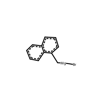 [Br][Mg][CH2]c1cccc2ccccc12